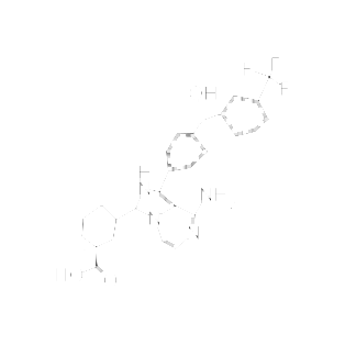 NC1=NC=CN2C1=C(c1ccc([C@H](O)c3cccc(C(F)(F)F)c3)cc1)NC2C1CCC[C@H](C(=O)O)C1